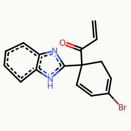 C=CC(=O)C1(c2nc3ccccc3[nH]2)C=CC(Br)=CC1